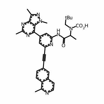 Cc1nc(-c2cc(C#Cc3ccc4c(C)nccc4c3)nc(NC(=O)C(C)N(CC(C)(C)C)C(=O)O)c2)c2c(n1)c(C)nn2C